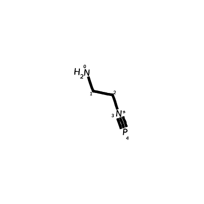 NCC[N+]#P